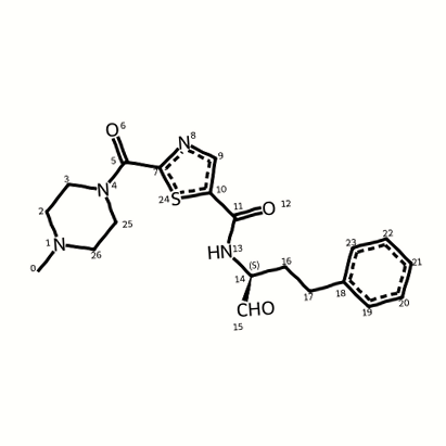 CN1CCN(C(=O)c2ncc(C(=O)N[C@H](C=O)CCc3ccccc3)s2)CC1